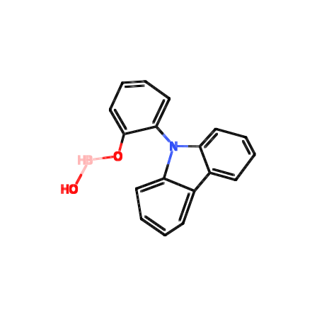 OBOc1ccccc1-n1c2ccccc2c2ccccc21